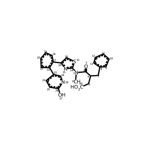 CN(C(=O)C(CC(=O)O)Cc1ccccc1)c1nc(-c2ccccc2-c2ccc(O)nc2)cs1